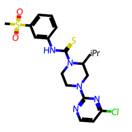 CC(C)C1CN(c2nccc(Cl)n2)CCN1C(=S)Nc1cccc(S(C)(=O)=O)c1